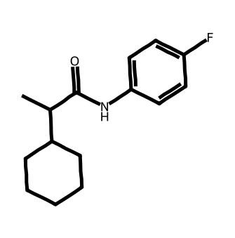 CC(C(=O)Nc1ccc(F)cc1)C1CCCCC1